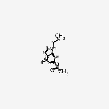 CCCCn1ccc2c(I)cc(OC(C)=O)cc21